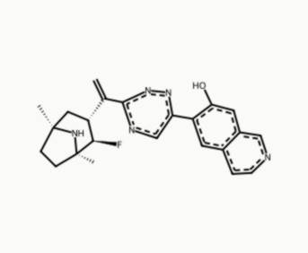 C=C(c1ncc(-c2cc3ccncc3cc2O)nn1)[C@H]1C[C@]2(C)CC[C@@](C)(N2)[C@@H]1F